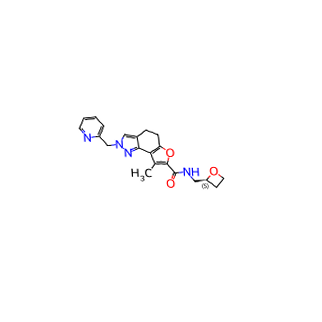 Cc1c(C(=O)NC[C@@H]2CCO2)oc2c1-c1nn(Cc3ccccn3)cc1CC2